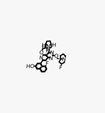 Oc1cc(-c2cc3nc(OC[C@@]45CCCN4C[C@@H](F)C5)nc4c3c(n2)OC[C@@H]2[C@@H]3CC[C@@H](CN42)N3)c2c(F)cccc2c1